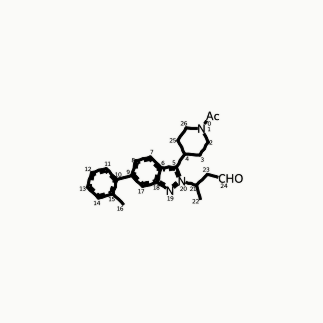 CC(=O)N1CCC(c2c3ccc(-c4ccccc4C)cc3nn2C(C)CC=O)CC1